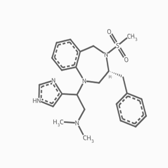 CN(C)CC(c1c[nH]cn1)N1C[C@@H](Cc2ccccc2)N(S(C)(=O)=O)Cc2ccccc21